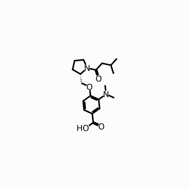 CC(C)CC(=O)N1CCC[C@H]1COc1ccc(C(=O)O)cc1N(C)C